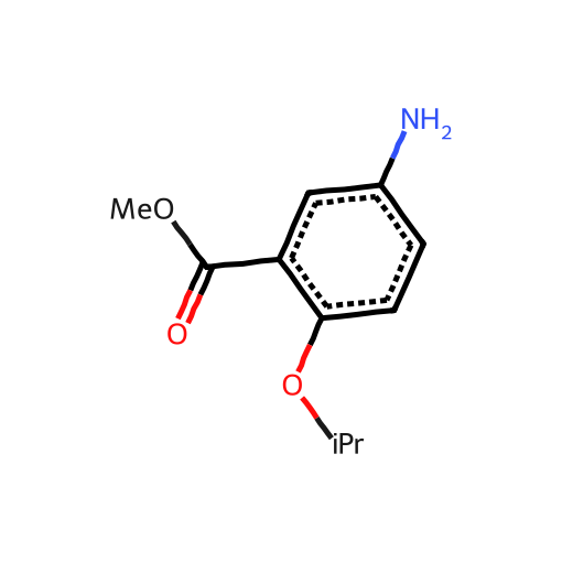 COC(=O)c1cc(N)ccc1OC(C)C